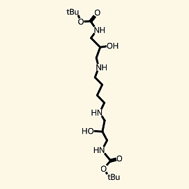 CC(C)(C)OC(=O)NCC(O)CNCCCCNCC(O)CNC(=O)OC(C)(C)C